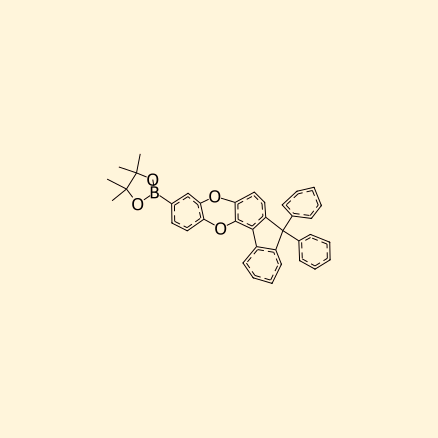 CC1(C)OB(c2ccc3c(c2)Oc2ccc4c(c2O3)-c2ccccc2C4(c2ccccc2)c2ccccc2)OC1(C)C